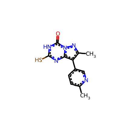 Cc1ccc(-c2c(C)nn3c(=O)[nH]c(S)nc23)cn1